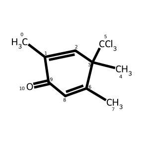 CC1=CC(C)(C(Cl)(Cl)Cl)C(C)=CC1=O